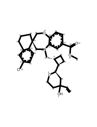 C=CC1(O)CCO[C@@H]([C@@H]2CC[C@H]2CN2C[C@@]3(CCCc4cc(Cl)ccc43)COc3ccc(C(=O)OC)cc32)C1